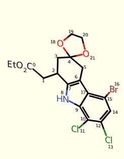 CCOC(=O)CC1CC2(Cc3c1[nH]c1c(Cl)c(Cl)cc(Br)c31)OCCO2